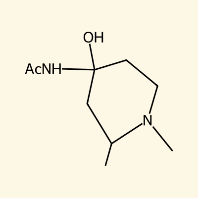 CC(=O)NC1(O)CCN(C)C(C)C1